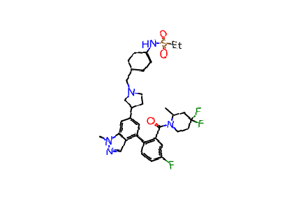 CCS(=O)(=O)NC1CCC(CN2CCC(c3cc(-c4ccc(F)cc4C(=O)N4CCC(F)(F)CC4C)c4cnn(C)c4c3)C2)CC1